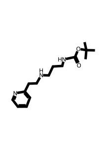 CC(C)(C)OC(=O)NCCCNCCc1ccccn1